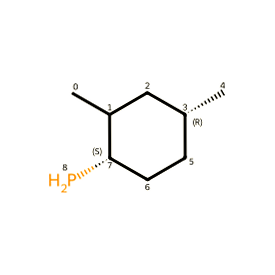 CC1C[C@H](C)CC[C@@H]1P